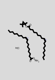 CCCCCCCC/C=C\CCCCCCCC(=O)OC1(C)CC1(C)C.CCCCCCCC/C=C\CCCCCCCC(=O)ON.Cl